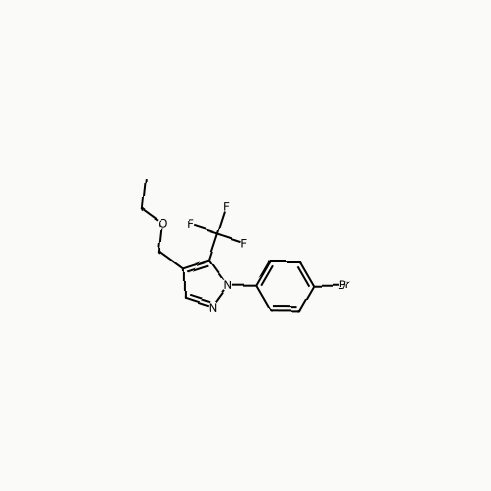 CCOCc1cnn(-c2ccc(Br)cc2)c1C(F)(F)F